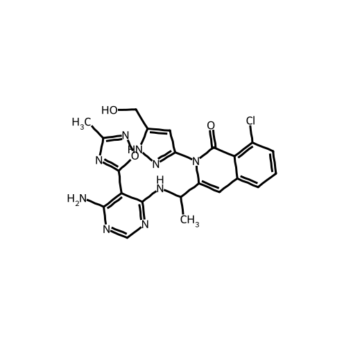 Cc1noc(-c2c(N)ncnc2NC(C)c2cc3cccc(Cl)c3c(=O)n2-c2cc(CO)[nH]n2)n1